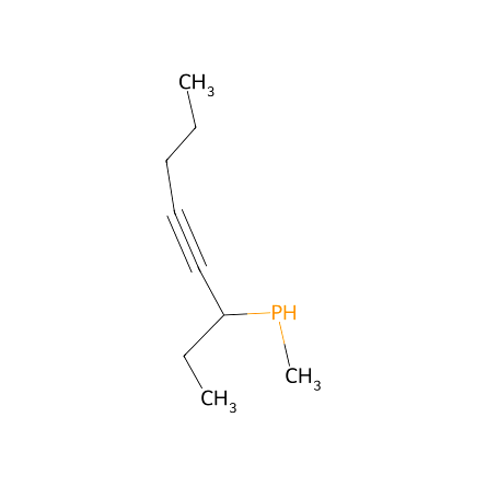 CCCC#CC(CC)PC